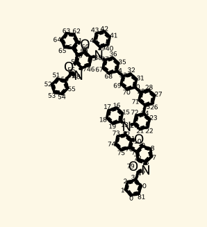 c1ccc(-c2nc3ccc4oc5c(N(c6ccccc6)c6cccc(-c7cccc(-c8ccc(-c9ccc(N(c%10ccccc%10)c%10cc%11nc(-c%12ccccc%12)oc%11c%11c%10oc%10ccccc%10%11)cc9)cc8)c7)c6)cccc5c4c3o2)cc1